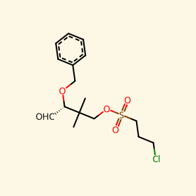 CC(C)(COS(=O)(=O)CCCCl)[C@H](C=O)OCc1ccccc1